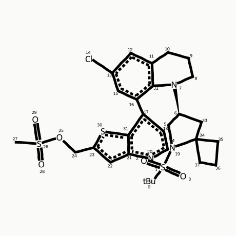 CC(C)(C)S(=O)(=O)N1C[C@@H](N2CCCc3cc(Cl)cc(-c4ccnc5cc(COS(C)(=O)=O)sc45)c32)CC12CCC2